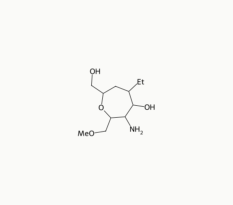 CCC1CC(CO)OC(COC)C(N)C1O